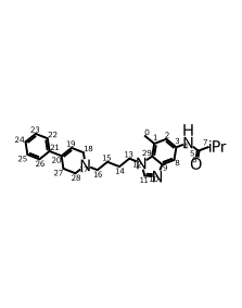 Cc1cc(NC(=O)C(C)C)cc2ncn(CCCCN3CC=C(c4ccccc4)CC3)c12